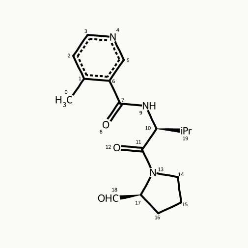 Cc1ccncc1C(=O)N[C@H](C(=O)N1CCC[C@H]1C=O)C(C)C